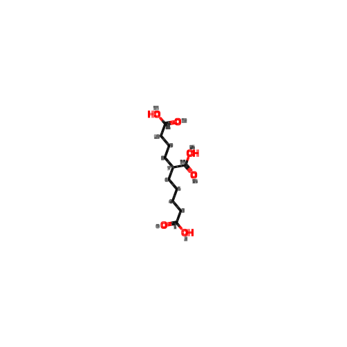 O=C(O)CCCCC(CCCC(=O)O)C(=O)O